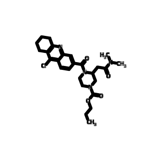 CCCOC(=O)N1CCN(C(=O)c2ccc3c(Cl)c4c(nc3c2)CCCC4)C(CC(=O)N(C)C)C1